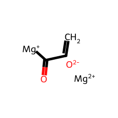 C=C[C](=O)[Mg+].[Mg+2].[O-2]